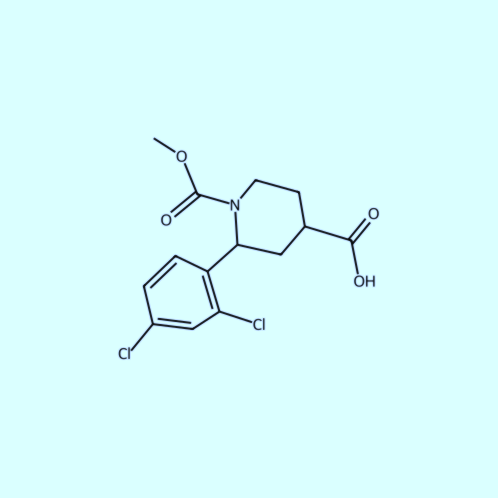 COC(=O)N1CCC(C(=O)O)CC1c1ccc(Cl)cc1Cl